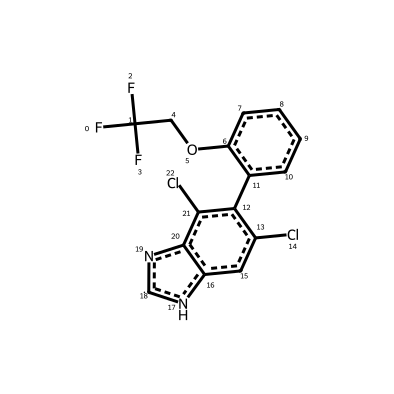 FC(F)(F)COc1ccccc1-c1c(Cl)cc2[nH][c]nc2c1Cl